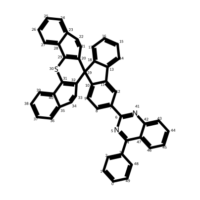 c1ccc(-c2nc(-c3ccc4c(c3)-c3ccccc3C43c4ccc5ccccc5c4Sc4c3ccc3ccccc43)nc3ccccc23)cc1